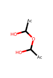 CC(=O)C(O)OC(O)C(C)=O